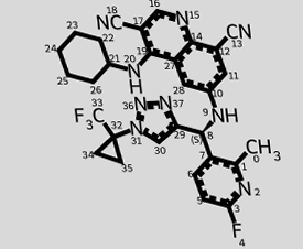 Cc1nc(F)ccc1[C@H](Nc1cc(C#N)c2ncc(C#N)c(NC3CCCCC3)c2c1)c1cn(C2(C(F)(F)F)CC2)nn1